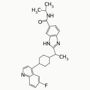 CC(C)NC(=O)c1ccc2nc(C(C)C3CCC(c4ccnc5ccc(F)cc45)CC3)[nH]c2c1